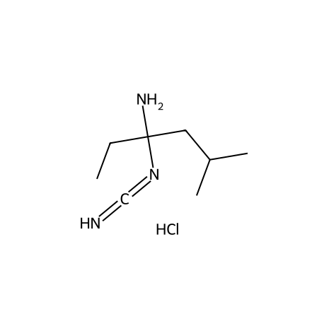 CCC(N)(CC(C)C)N=C=N.Cl